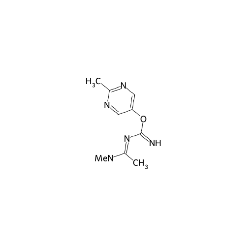 CN/C(C)=N/C(=N)Oc1cnc(C)nc1